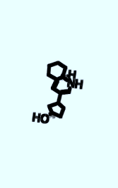 O[C@@H]1CCC(C2=CN[C@@H]3CCCCC3=C2)C1